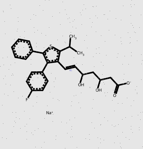 CC(C)c1sc(-c2ccccc2)c(-c2ccc(F)cc2)c1/C=C/C(O)CC(O)CC(=O)[O-].[Na+]